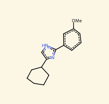 COc1cccc(-c2nc(C3CCCCC3)c[nH]2)c1